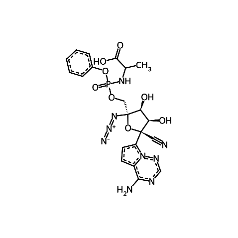 CC(NP(=O)(OC[C@@]1(N=[N+]=[N-])O[C@@](C#N)(c2ccc3c(N)ncnn23)[C@H](O)[C@@H]1O)Oc1ccccc1)C(=O)O